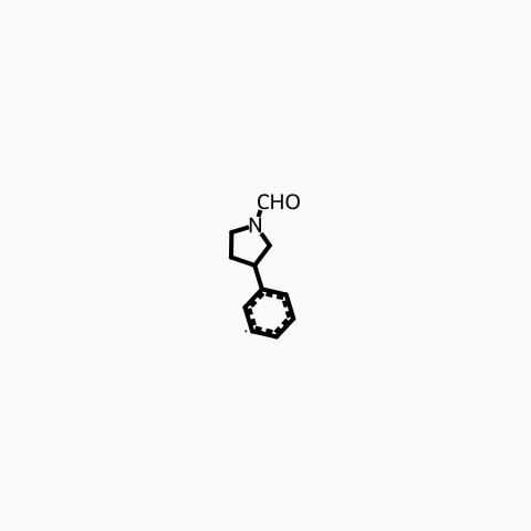 O=CN1CCC(c2c[c]ccc2)C1